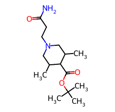 CC1CN(CCC(N)=O)CC(C)C1C(=O)OC(C)(C)C